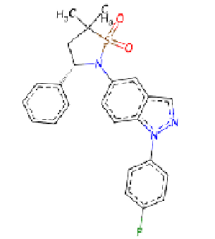 CC1(C)C[C@@H](c2ccccc2)N(c2ccc3c(cnn3-c3ccc(F)cc3)c2)S1(=O)=O